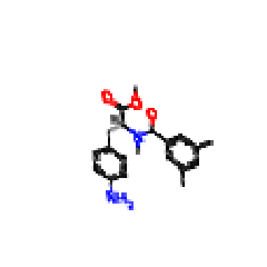 COC(=O)[C@@H](Cc1ccc(N)cc1)N(C)C(=O)c1cc(C)cc(C)c1